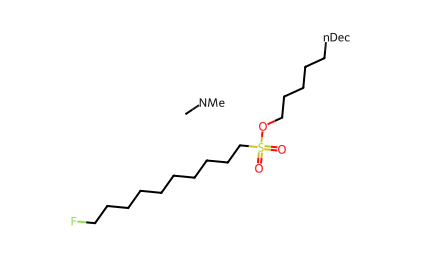 CCCCCCCCCCCCCCCOS(=O)(=O)CCCCCCCCCCF.CNC